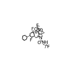 CC(C)(F)CNC(=O)N1CC2(CC2)[C@H](NS(=O)(=O)CF)[C@@H]1Cc1cc(F)cc(-c2ccccc2)c1F